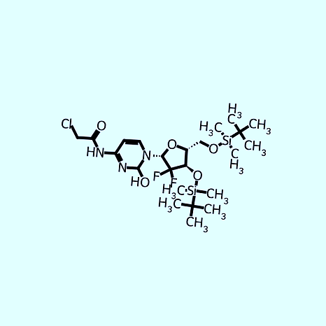 CC(C)(C)[Si](C)(C)OC[C@H]1O[C@@H](N2C=CC(NC(=O)CCl)=NC2O)C(F)(F)[C@@H]1O[Si](C)(C)C(C)(C)C